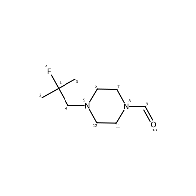 CC(C)(F)CN1CCN(C=O)CC1